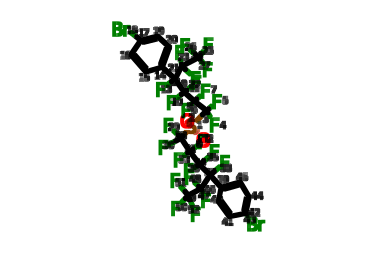 O=S(=O)(C(F)(F)C(F)(F)C(F)(F)C(F)(c1ccc(Br)cc1)C(F)(F)C(F)(F)F)C(F)(F)C(F)(F)C(F)(F)C(F)(c1ccc(Br)cc1)C(F)(F)C(F)(F)F